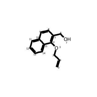 C=CCOc1c(CO)ccc2ccccc12